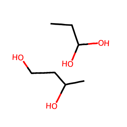 CC(O)CCO.CCC(O)O